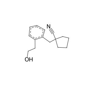 N#CC1(Cc2ccccc2CCO)CCCC1